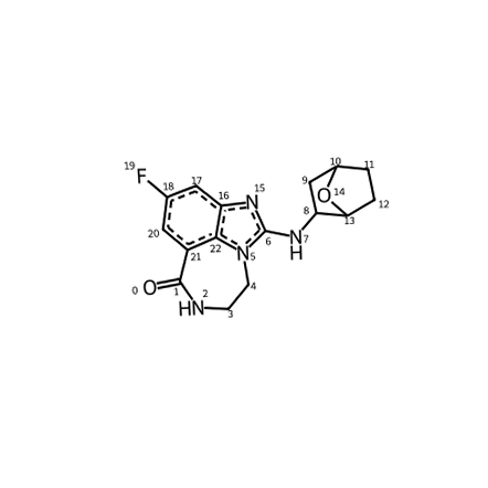 O=C1NCCn2c(NC3CC4CCC3O4)nc3cc(F)cc1c32